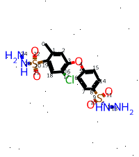 Cc1cc(Oc2ccc(S(=O)(=O)NN)cc2)c(Cl)cc1S(=O)(=O)NN